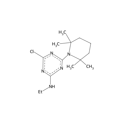 CCNc1nc(Cl)nc(N2C(C)(C)CCCC2(C)C)n1